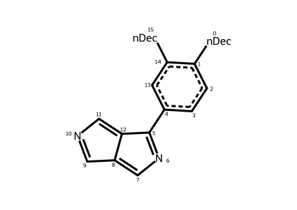 CCCCCCCCCCc1ccc(C2=NC=C3C=NC=C32)cc1CCCCCCCCCC